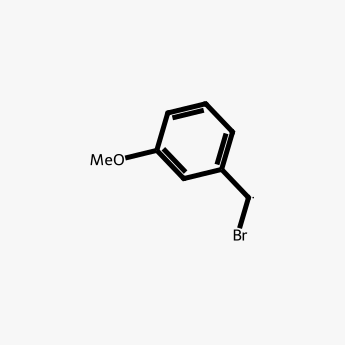 COc1cccc([CH]Br)c1